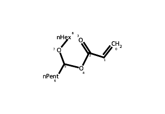 C=CC(=O)OC(CCCCC)OCCCCCC